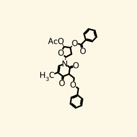 CC(=O)O[C@H]1O[C@@H](N2C=C(C)C(=O)C(COCc3ccccc3)C2=O)C[C@@H]1OC(=O)c1ccccc1